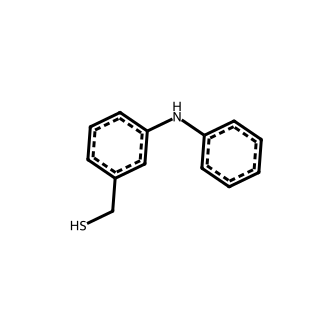 SCc1cccc(Nc2ccccc2)c1